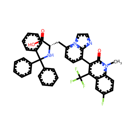 Cn1c(=O)c(-c2ccc(C[C@H](NC(c3ccccc3)(c3ccccc3)c3ccccc3)C(=O)O)n3ccnc23)c(C(F)(F)F)c2cc(F)ccc21